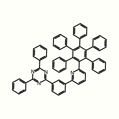 c1ccc(-c2nc(-c3ccccc3)nc(-c3cccc(-c4cccc(-c5c(-c6ccccc6)c(-c6ccccc6)c(-c6ccccc6)c(-c6ccccc6)c5-c5ccccc5)n4)c3)n2)cc1